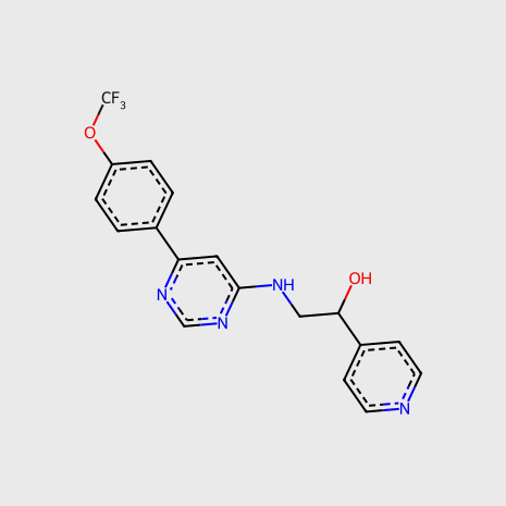 OC(CNc1cc(-c2ccc(OC(F)(F)F)cc2)ncn1)c1ccncc1